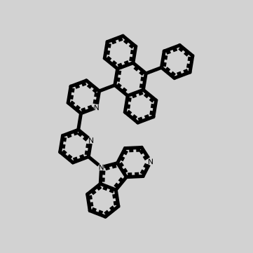 c1ccc(-c2c3ccccc3c(-c3cccc(-c4cccc(-n5c6ccccc6c6cnccc65)n4)n3)c3ccccc23)cc1